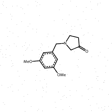 COc1cc(CN2CCC(=O)C2)cc(OC)c1